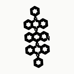 c1ccc(N2c3ccccc3N(c3c4ccccc4c(N4c5ccccc5N(c5ccccc5)c5ccccc54)c4cnccc34)c3ccccc32)cc1